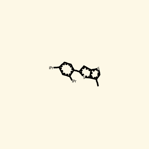 Cc1csc2cc(-c3ccc(C(C)C)cc3C(C)C)sc12